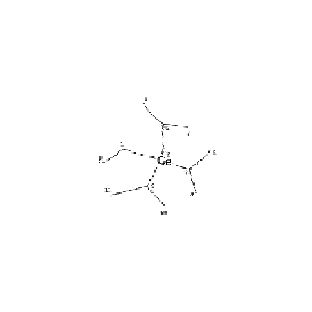 [CH2][CH2][Ge]([CH](C)C)([CH](C)C)[CH](C)C